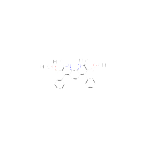 COSc1c(C)nc2c(ccc3c(-c4ccccc4)c(SOC)c(C)nc32)c1-c1ccccc1